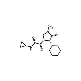 CN1C[C@H](C(=O)C(=O)NC2CC2)[C@@H](C2CCCCC2)C1=O